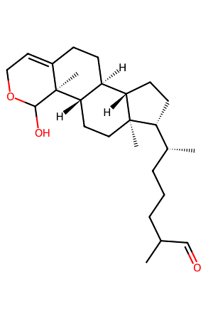 CC(C=O)CCC[C@@H](C)[C@H]1CC[C@H]2[C@@H]3CCC4=CCOC(O)[C@]4(C)[C@H]3CC[C@]12C